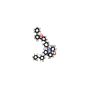 c1ccc(-c2cccc(-c3ccc(N(c4ccc(-c5ccc6oc7c(-c8ccccc8)cccc7c6c5)cc4)c4cccc5oc6ccccc6c45)cc3)c2)cc1